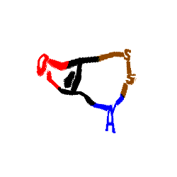 [nH]1ssc2oc1=2